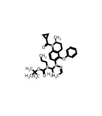 C/C=N\N(c1ccc2c(c1Oc1ccccc1)CC[C@H](C)N2C(=O)C1CC1)C(C)N(CCC)C(=O)OC(C)(C)C